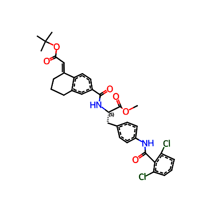 COC(=O)[C@H](Cc1ccc(NC(=O)c2c(Cl)cccc2Cl)cc1)NC(=O)c1ccc2c(c1)CCCC2=CC(=O)OC(C)(C)C